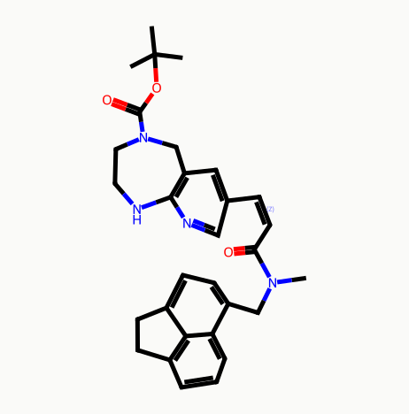 CN(Cc1ccc2c3c(cccc13)CC2)C(=O)/C=C\c1cnc2c(c1)CN(C(=O)OC(C)(C)C)CCN2